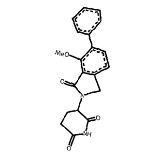 COc1c(-c2ccccc2)ccc2c1C(=O)N(C1CCC(=O)NC1=O)C2